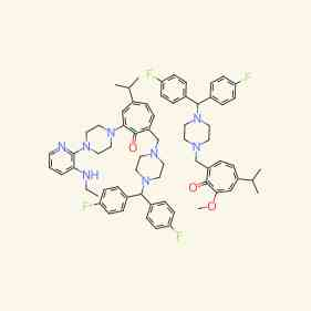 CCNc1cccnc1N1CCN(c2cc(C(C)C)ccc(CN3CCN(C(c4ccc(F)cc4)c4ccc(F)cc4)CC3)c2=O)CC1.COc1cc(C(C)C)ccc(CN2CCN(C(c3ccc(F)cc3)c3ccc(F)cc3)CC2)c1=O